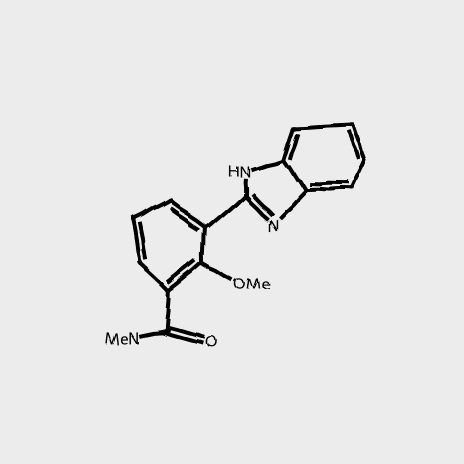 CNC(=O)c1cccc(-c2nc3ccccc3[nH]2)c1OC